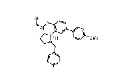 COc1ccc(-c2ccc3c(c2)[C@@H]2C(CCN2Cc2ccncc2)[C@@H](CO)N3)cc1